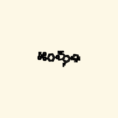 N#Cc1cc(-n2ccnn2)cc(F)c1COc1ccc(OS(=O)(=O)F)cc1